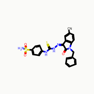 N#Cc1ccc2c(c1)C(=NNC(=S)Nc1ccc(S(N)(=O)=O)cc1)C(=O)N2Cc1ccccc1